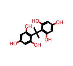 CC(C)(c1c(O)cc(O)cc1O)c1c(O)cc(O)cc1O